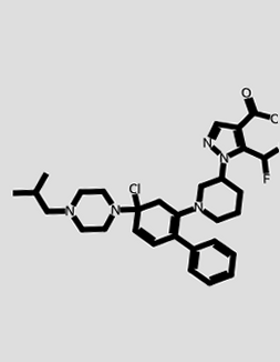 CC(C)CN1CCN(C2(Cl)C=CC(c3ccccc3)=C(N3CCCC(n4ncc(C(=O)O)c4C(F)F)C3)C2)CC1